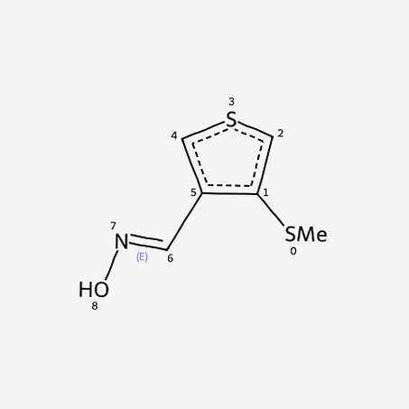 CSc1cscc1/C=N/O